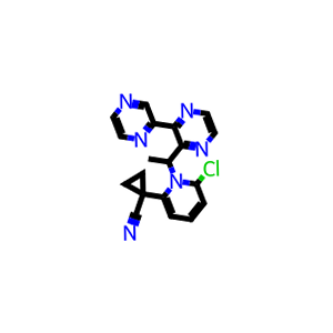 CC(c1nccnc1-c1cnccn1)N1C(C2(C#N)CC2)=CC=CC1Cl